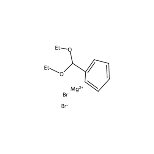 CCOC(OCC)c1ccccc1.[Br-].[Br-].[Mg+2]